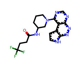 O=C(CCC(F)(F)F)NC1CCCN(c2ncnc3nnc4[nH]ccc4c23)C1